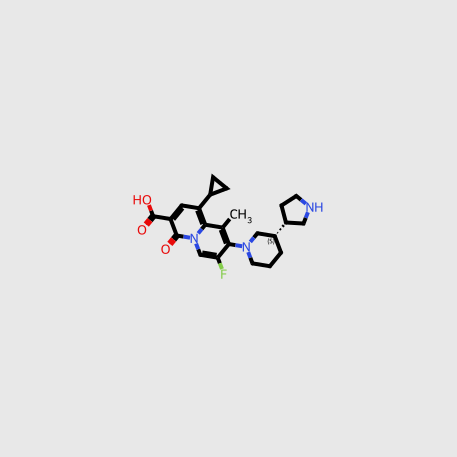 Cc1c(N2CCC[C@@H](C3CCNC3)C2)c(F)cn2c(=O)c(C(=O)O)cc(C3CC3)c12